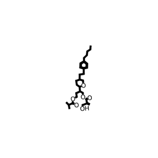 C=C(CO)C(=O)OCC(CCOC(=O)C(C)C)C1CCC(CCc2ccc(CCCCC)cc2)CO1